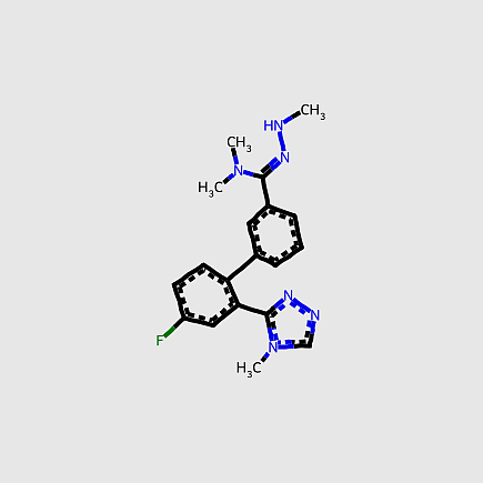 CN/N=C(/c1cccc(-c2ccc(F)cc2-c2nncn2C)c1)N(C)C